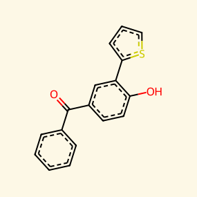 O=C(c1ccccc1)c1ccc(O)c(-c2cccs2)c1